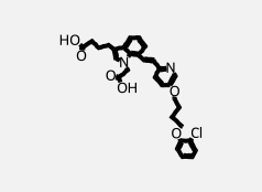 O=C(O)CCCc1cn(CC(=O)O)c2c(/C=C/c3ccc(OCCCCOc4ccccc4Cl)cn3)cccc12